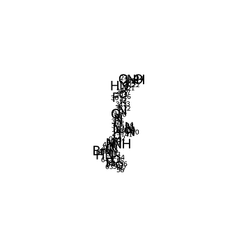 Cc1cc(N2CCN(C(=O)CN3CCC(c4ccc(NC5CCC(=O)NC5=O)cc4F)CC3)CC2)c(-c2cnn(C)c2)cc1Nc1ncc(Br)c(Nc2ccc3ccccc3c2P(C)C)n1